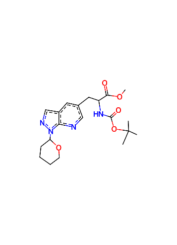 COC(=O)C(Cc1cnc2c(cnn2C2CCCCO2)c1)NC(=O)OC(C)(C)C